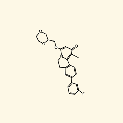 Cc1c2n(c(OC[C@@H]3COCCO3)cc1=O)CCc1cc(-c3cccc(F)c3)ccc1-2